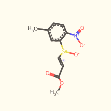 COC(=O)/C=C/[S+]([O-])c1cc(C)ccc1[N+](=O)[O-]